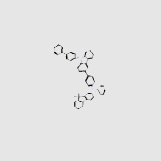 C[C@@H]1C=CC2=C(C1)c1ccc(N(c3ccccc3)c3ccc(-c4ccc5c(c4)c4ccccc4n5-c4ccc(-c5ccccc5)cc4)cc3)cc1C2(C)C